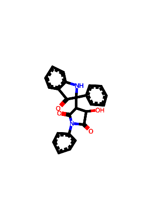 O=C1C(O)C(C2(c3ccccc3)Nc3ccccc3C2=O)C(=O)N1c1ccccc1